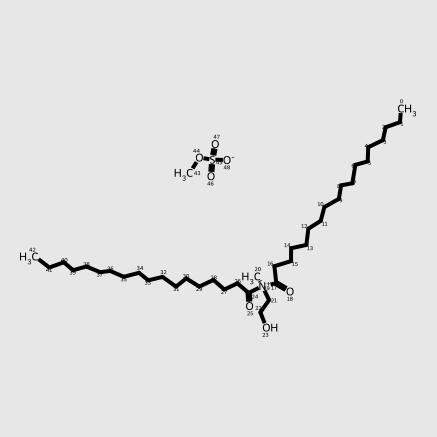 CCCCCCCCCCCCCCCCCC(=O)[N+](C)(CCO)C(=O)CCCCCCCCCCCCCCCCC.COS(=O)(=O)[O-]